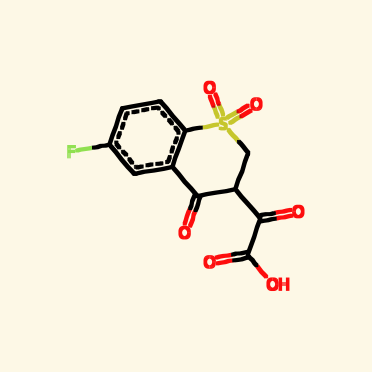 O=C(O)C(=O)C1CS(=O)(=O)c2ccc(F)cc2C1=O